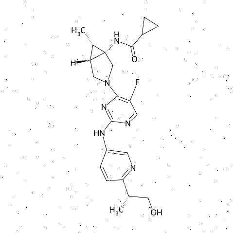 C[C@@H](CO)c1ccc(Nc2ncc(F)c(N3C[C@@H]4[C@H](C)[C@@]4(NC(=O)C4CC4)C3)n2)cn1